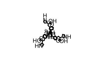 [2H]C([2H])(c1cccc(CC(C(=O)O)C2CCNC2)c1)N(C([2H])([2H])c1cccc(CC(C(=O)O)C2CCNC2)c1)C([2H])([2H])c1cccc(CC(C(=O)O)C2CCNC2)c1